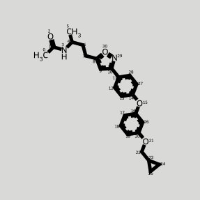 CC(=O)NC(C)CCc1cc(-c2ccc(Oc3cccc(OCC4CC4)c3)cc2)no1